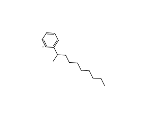 CCCCCCCCC(C)c1[c]cccc1